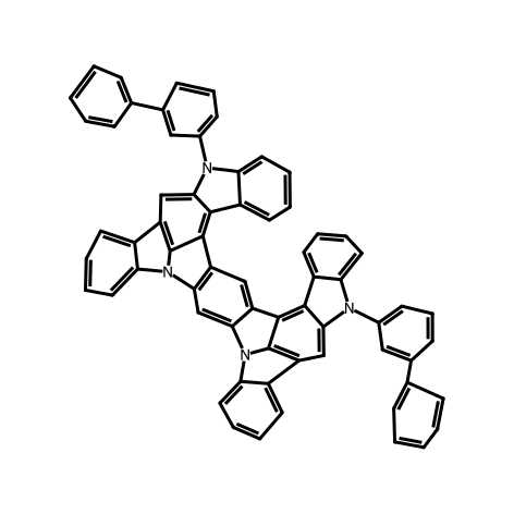 c1ccc(-c2cccc(-n3c4ccccc4c4c5c6cc7c8c9c%10ccccc%10n(-c%10cccc(-c%11ccccc%11)c%10)c9cc9c%10ccccc%10n(c7cc6n6c7ccccc7c(cc43)c56)c98)c2)cc1